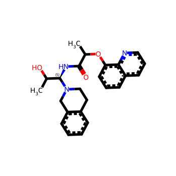 CC(Oc1cccc2cccnc12)C(=O)N[C@H](C(C)O)N1CCc2ccccc2C1